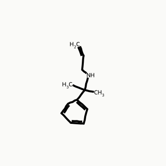 C=CCNC(C)(C)c1ccccc1